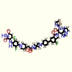 O=C1CCC(Nc2cc(F)c(N3CCC(O)(CC(=O)N4CC5(C4)CN(c4ccc(-c6cc(F)c7c(c6)C(=O)N(C(C(=O)Nc6nccs6)c6ncn8c6CCC8)C7)cc4)C5)CC3)cc2F)C(=O)N1